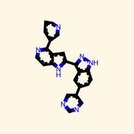 c1cncc(-c2nccc3[nH]c(-c4n[nH]c5ccc(-c6cncnc6)cc45)cc23)c1